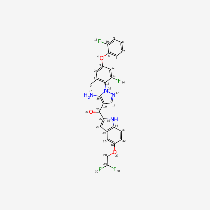 Cc1cc(Oc2ccccc2F)cc(F)c1-n1ncc(C(=O)c2cc3cc(OCC(F)F)ccc3[nH]2)c1N